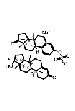 C[C@]12CCC(=O)C=C1CC[C@@H]1[C@@H]2CC[C@@]2(C)[C@H]1CC[C@]2(C)O.C[C@]12CC[C@@H]3c4ccc(OS(=O)(=O)[O-])cc4CC[C@H]3[C@@H]1CCC2=O.[Na+]